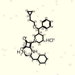 Cl.NC[C@H](CC1CCCCC1)Nc1c(N2CCCC(C(OCCC3CC3)c3ccccc3)C2)c(=O)c1=O